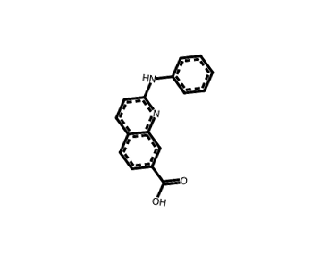 O=C(O)c1ccc2ccc(Nc3ccccc3)nc2c1